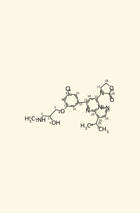 CNCC(O)COc1cc(Cl)cc(-c2cc(N3CCOC3=O)n3ncc(C(C)C)c3n2)c1